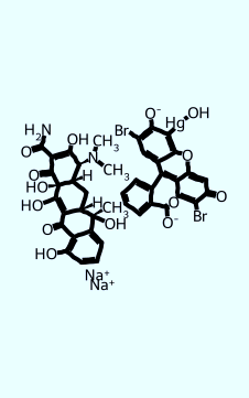 CN(C)[C@@H]1C(O)=C(C(N)=O)C(=O)[C@@]2(O)C(O)=C3C(=O)c4c(O)cccc4[C@@](C)(O)[C@H]3C[C@@H]12.O=C([O-])c1ccccc1-c1c2cc(Br)c(=O)cc-2oc2[c]([Hg][OH])c([O-])c(Br)cc12.[Na+].[Na+]